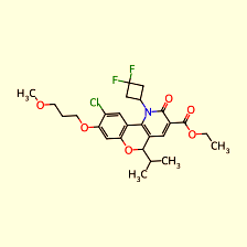 CCOC(=O)c1cc2c(n(C3CC(F)(F)C3)c1=O)-c1cc(Cl)c(OCCCOC)cc1OC2C(C)C